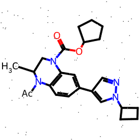 CC(=O)N1c2ccc(-c3cnn(C4CCC4)c3)cc2N(C(=O)OC2CCCC2)CC1C